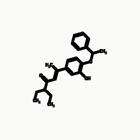 CCN(CC)C(=O)C=C(C)c1ccc(OC(C)c2ccccc2)c(O)c1